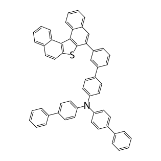 c1ccc(-c2ccc(N(c3ccc(-c4ccccc4)cc3)c3ccc(-c4cccc(-c5cc6ccccc6c6c5sc5ccc7ccccc7c56)c4)cc3)cc2)cc1